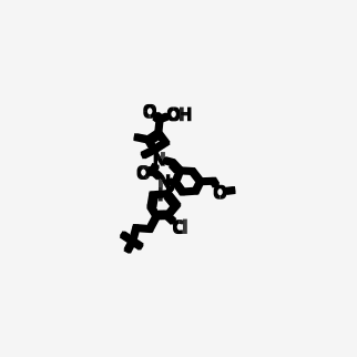 COCC1CC[C@]2(c3ccc(CCC(C)(C)C)c(Cl)c3)NC(=O)N(C3(C)CC(C(=O)O)=C3C)C=C2C1